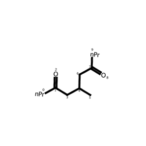 CCCC(=O)CC(C)CC(=O)CCC